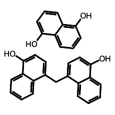 Oc1ccc(Cc2ccc(O)c3ccccc23)c2ccccc12.Oc1cccc2c(O)cccc12